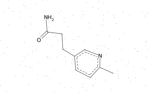 Cc1ccc(CCC(N)=O)cn1